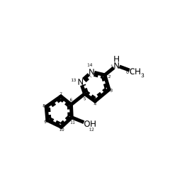 CNc1ccc(-c2ccccc2O)nn1